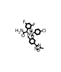 Cc1nc(-c2ccc(CN(C(C(N)=O)c3cc(F)cc(F)c3)S(=O)(=O)c3ccc(Cl)cc3)cc2)no1